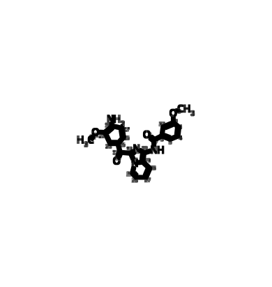 COc1cccc(C(=O)Nc2nc(C(=O)c3ccc(N)c(OC)c3)n3ccccc23)c1